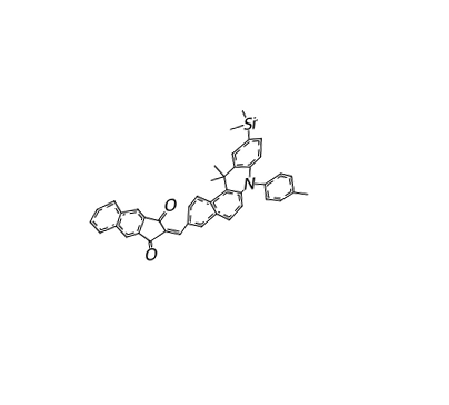 Cc1ccc(N2c3ccc([Si](C)(C)C)cc3C(C)(C)c3c2ccc2cc(C=C4C(=O)c5cc6ccccc6cc5C4=O)ccc32)cc1